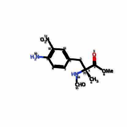 COC(=O)[C@@](C)(Cc1ccc(N)c([N+](=O)[O-])c1)NC=O